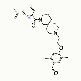 C=C/C(=C\SC(=C)C)C(=O)N1CCCC2(CCN(CCOc3cc(C)c(C=O)cc3C)CC2)C1